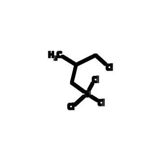 CC(CCl)C[Si](Cl)(Cl)Cl